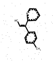 Cc1ccc(/C(=C/C#N)c2ccccn2)cc1